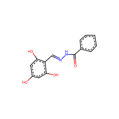 O=C(NN=Cc1c(O)cc(O)cc1O)c1ccccc1